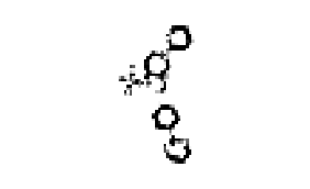 CS(=O)(=O)NC1CCN(c2ccccn2)C[C@H]1CO[C@H]1CC[C@@H](c2ncccn2)CC1